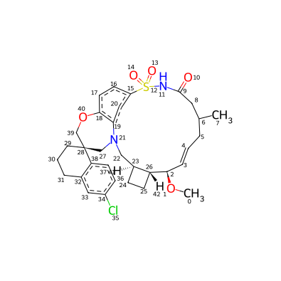 CO[C@@H]1/C=C/CC(C)CC(=O)NS(=O)(=O)c2ccc3c(c2)N(C[C@@H]2CC[C@H]21)C[C@@]1(CCCc2cc(Cl)ccc21)CO3